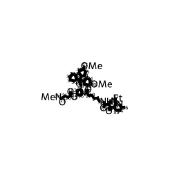 CCn1cc(C(=O)NCCCCCC(=O)N2C[C@H](OC(=O)CCC(=O)NC)C[C@H]2COC(c2ccccc2)(c2ccc(OC)cc2)c2ccc(OC)cc2)c(=O)c2ccc(C)nc21